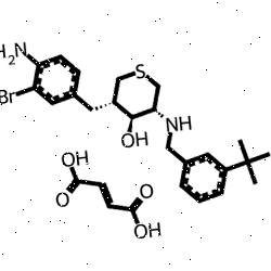 CC(C)(C)c1cccc(CN[C@H]2CSC[C@@H](Cc3ccc(N)c(Br)c3)[C@@H]2O)c1.O=C(O)/C=C/C(=O)O